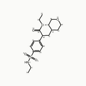 CCNS(=O)(=O)c1ccc(C(CC2CCOCC2)C(=O)OCC)cc1